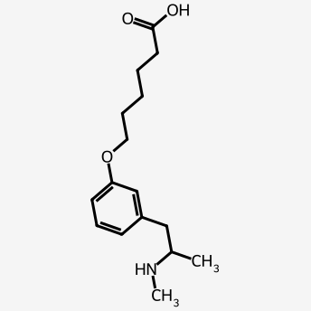 CNC(C)Cc1cccc(OCCCCCC(=O)O)c1